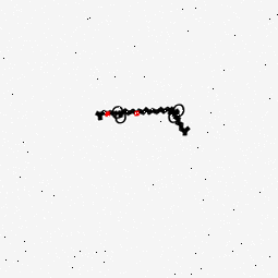 CC(C)CCCCOC(=O)CCCCCCCCCCCCCC(C)(C)C(=O)OCCCCC(C)C